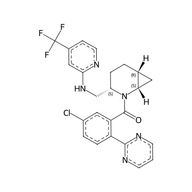 O=C(c1cc(Cl)ccc1-c1ncccn1)N1[C@H](CNc2cc(C(F)(F)F)ccn2)CC[C@@H]2C[C@@H]21